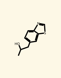 CC(O)Cc1ccc2ncsc2c1